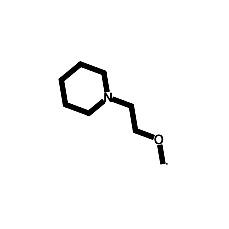 [CH2]OCCN1CCCCC1